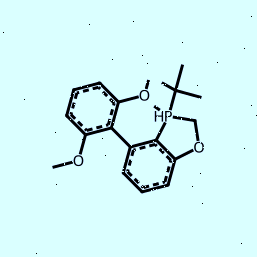 COc1cccc(OC)c1-c1cccc2c1[PH](C)(C(C)(C)C)CO2